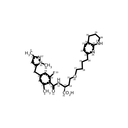 Cc1cc(Cc2cc(C)c(C(=O)N[C@@H](CCOCCCCc3ccc4c(n3)NCCC4)C(=O)O)c(F)c2)n(C)n1